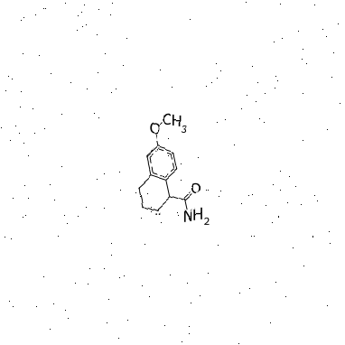 COc1ccc2c(c1)CC[C]C2C(N)=O